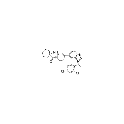 CC(c1ccc(Cl)cc1Cl)n1cnc2ccc(C3=CCN(C(=O)C4(N)CCCCC4)CC3)cc21